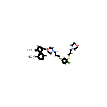 Cc1ccc(S(=O)(=O)O)cc1.Cc1ccc(S(=O)(=O)O)cc1.Clc1ccc(SCCCN2CCOCC2)cc1SCCCN1CCOCC1